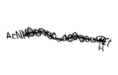 CCNC(=O)CCOCCOCCOCCOCCOCCOCCOCCOCCOCCOCCOCCOCCNC(C)=O